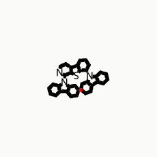 c1cc(-n2c3ccccc3c3ccccc32)c2sc3c(-n4c5ccccc5c5ccccc54)nccc3c2c1